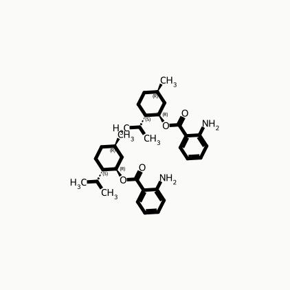 CC(C)[C@@H]1CC[C@@H](C)C[C@H]1OC(=O)c1ccccc1N.CC(C)[C@@H]1CC[C@@H](C)C[C@H]1OC(=O)c1ccccc1N